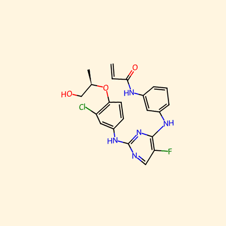 C=CC(=O)Nc1cccc(Nc2nc(Nc3ccc(O[C@H](C)CO)c(Cl)c3)ncc2F)c1